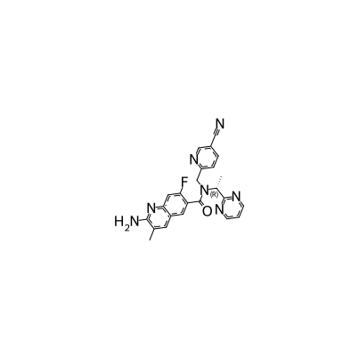 Cc1cc2cc(C(=O)N(Cc3ccc(C#N)cn3)[C@H](C)c3ncccn3)c(F)cc2nc1N